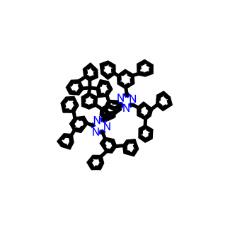 c1ccc(-c2cc(-c3ccccc3)cc(-c3nc(-c4cccc(-c5cccc(C6(c7cccc(-c8cccc(-c9nc(-c%10cc(-c%11ccccc%11)cc(-c%11ccccc%11)c%10)nc(-c%10cc(-c%11ccccc%11)cc(-c%11ccccc%11)c%10)n9)c8)c7)c7ccccc7-c7ccccc76)c5)c4)nc(-c4cc(-c5ccccc5)cc(-c5ccccc5)c4)n3)c2)cc1